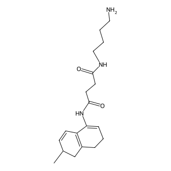 CC1C=CC2=C(CCC=C2NC(=O)CCC(=O)NCCCCN)C1